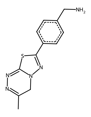 CC1=NN=C2SC(c3ccc(CN)cc3)=NN2C1